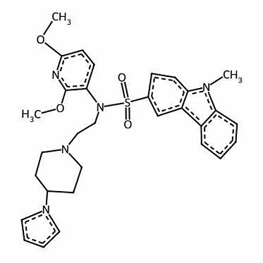 COc1ccc(N(CCN2CCC(n3cccc3)CC2)S(=O)(=O)c2ccc3c(c2)c2ccccc2n3C)c(OC)n1